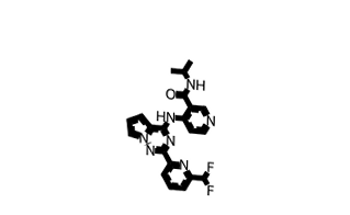 CC(C)NC(=O)c1cnccc1Nc1nc(-c2cccc(C(F)F)n2)nn2cccc12